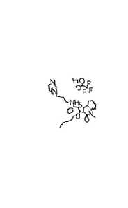 CCCCOc1c(C(=O)NCCCn2ccnc2)sc2c1c(=O)n(C)c1ccccc21.O=C(O)C(F)(F)F